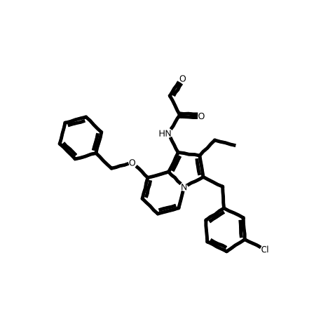 CCc1c(NC(=O)C=O)c2c(OCc3ccccc3)cccn2c1Cc1cccc(Cl)c1